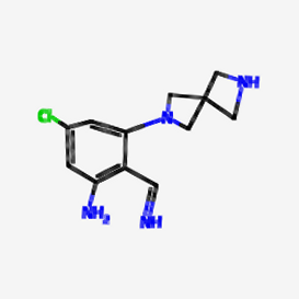 N=Cc1c(N)cc(Cl)cc1N1CC2(CNC2)C1